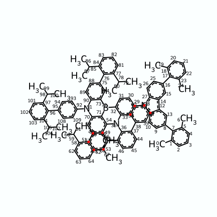 Cc1cccc(C)c1-c1ccc2c(c1)c1cc(-c3c(C)cccc3C)ccc1n2-c1ccc2c(c1)N(c1c(-c3ccccc3)cccc1-c1ccccc1)c1cc(-c3c(C(C)C)cccc3C(C)C)cc3c1B2c1cc(-c2c(C(C)C)cccc2C(C)C)ccc1N3c1ccc(-c2c(C(C)C)cccc2C(C)C)cc1